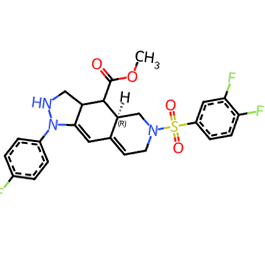 COC(=O)C1C2CNN(c3ccc(F)cc3)C2=CC2=CCN(S(=O)(=O)c3ccc(F)c(F)c3)C[C@@H]21